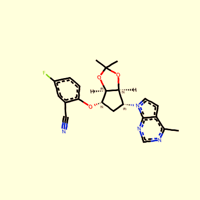 Cc1ncnc2c1ccn2[C@@H]1C[C@H](Oc2ccc(F)cc2C#N)[C@H]2OC(C)(C)O[C@H]21